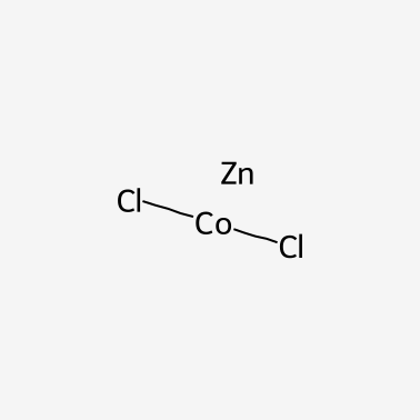 [Cl][Co][Cl].[Zn]